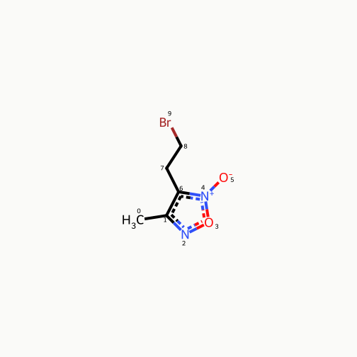 Cc1no[n+]([O-])c1CCBr